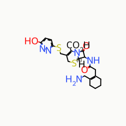 NCC1=C(CC(=O)NC2C(=O)N3C(C(=O)O)=C(CSc4ccc(O)nn4)CS[C@H]23)CCCC1